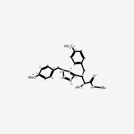 CCC[C@H](C(=O)OC(C)(C)C)[C@H](Cc1ccc(C(=O)O)cc1)c1nnn(Cc2ccc(OC)cc2)n1